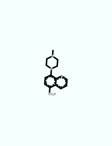 CN1CCN(c2ccc(C(=O)O)c3cccnc23)CC1